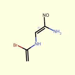 C=C(Br)N/C=C(\N)N=O